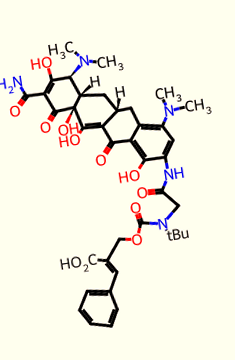 CN(C)c1cc(NC(=O)CN(C(=O)OCC(=Cc2ccccc2)C(=O)O)C(C)(C)C)c(O)c2c1C[C@H]1C[C@H]3[C@H](N(C)C)C(O)=C(C(N)=O)C(=O)[C@@]3(O)C(O)=C1C2=O